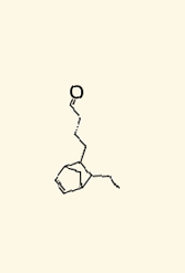 CCC1C2C=CC(C2)C1CCCC=O